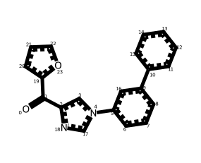 O=C(c1cn(-c2cccc(-c3ccccc3)c2)cn1)c1ccco1